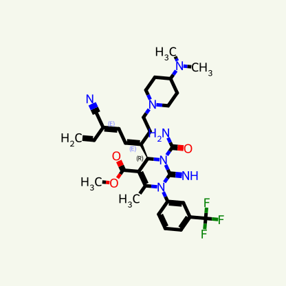 C=C/C(C#N)=C\C=C(/CCN1CCC(N(C)C)CC1)[C@@H]1C(C(=O)OC)=C(C)N(c2cccc(C(F)(F)F)c2)C(=N)N1C(N)=O